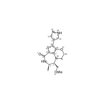 COC[C@H]1[C@@H](C)NC(=O)c2sc(-c3cn[nH]c3)c3c2N1CCO3